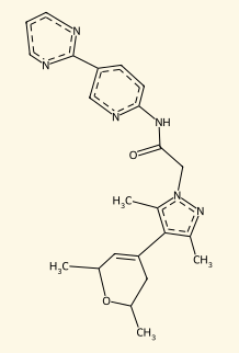 Cc1nn(CC(=O)Nc2ccc(-c3ncccn3)cn2)c(C)c1C1=CC(C)OC(C)C1